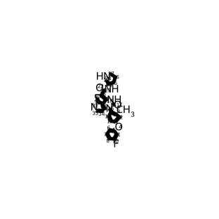 Cc1cc(Oc2cccc(F)c2)ccc1N1C(=O)Nc2c(C(=O)N[C@@H]3CCCNC3)sc3nccc1c23